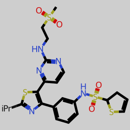 CC(C)c1nc(-c2cccc(NS(=O)(=O)C3CC=CS3)c2)c(-c2ccnc(NCCS(C)(=O)=O)n2)s1